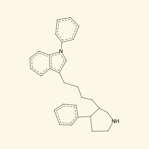 c1ccc(C2CCNCC2CCCCc2cn(-c3ccccc3)c3ccccc23)cc1